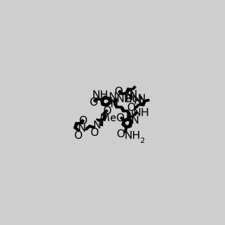 CCn1nc(C)cc1C(=O)Nc1nc2cc(C(N)=O)cc(OC)c2n1C/C=C/Cn1c(NC(=O)c2cc(C)nn2C)nc2cc(C(N)=O)cc(OCCC3CN(C(=O)CCN4C(=O)C=CC4=O)C3)c21